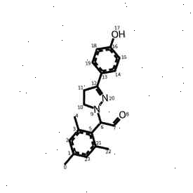 Cc1cc(C)c(C(C=O)N2CCC(c3ccc(O)cc3)=N2)c(C)c1